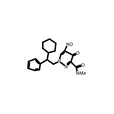 CNC(=O)c1nn(CC(c2ccccc2)C2CCCCC2)cc(N=O)c1=O